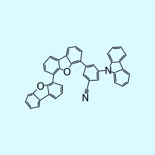 N#Cc1cc(-c2cccc3c2oc2c(-c4cccc5c4oc4ccccc45)cccc23)cc(-n2c3ccccc3c3ccccc32)c1